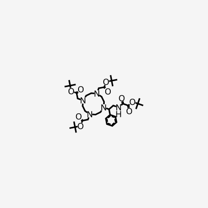 CC(C)(C)OC(=O)CN1CCN(CC(=O)OC(C)(C)C)CCN(C(CNC(=O)C(=O)OC(C)(C)C)c2ccccc2)CCN(CC(=O)OC(C)(C)C)CC1